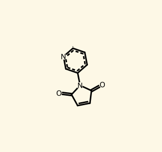 O=C1C=CC(=O)N1c1cc[c]nc1